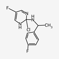 CC(NC1(Cl)N=CC(F)=CN1)c1ccc(F)cc1